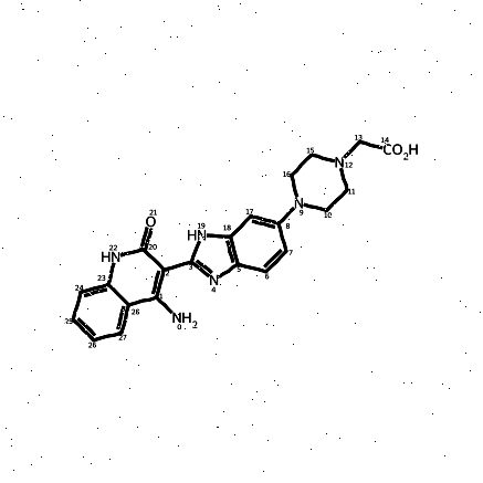 Nc1c(-c2nc3ccc(N4CCN(CC(=O)O)CC4)cc3[nH]2)c(=O)[nH]c2ccccc12